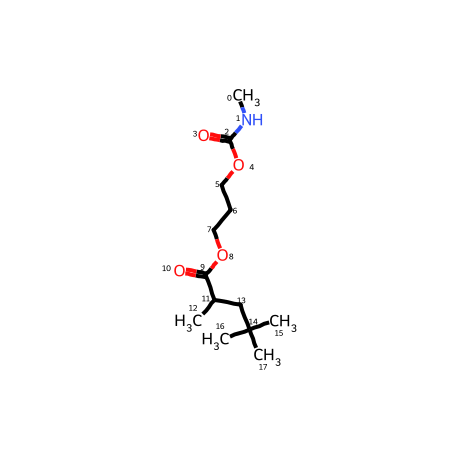 CNC(=O)OCCCOC(=O)C(C)CC(C)(C)C